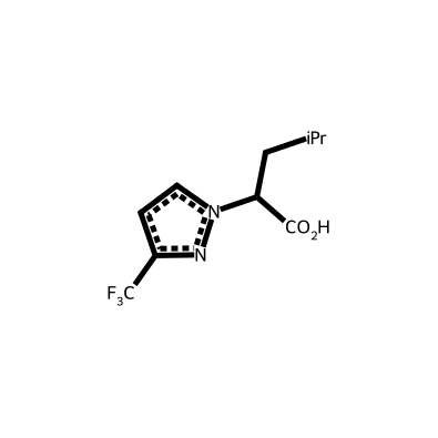 CC(C)CC(C(=O)O)n1ccc(C(F)(F)F)n1